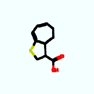 O=C(O)C1CSC2=CC=CCCC21